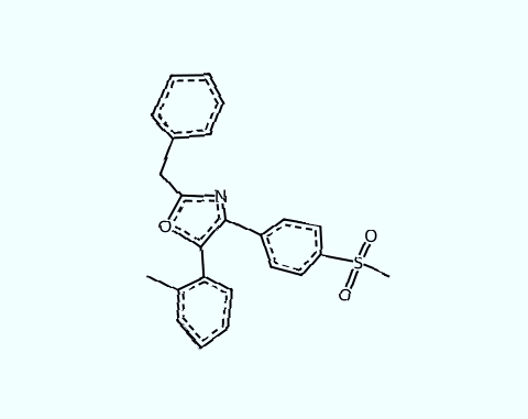 Cc1ccccc1-c1oc(Cc2ccccc2)nc1-c1ccc(S(C)(=O)=O)cc1